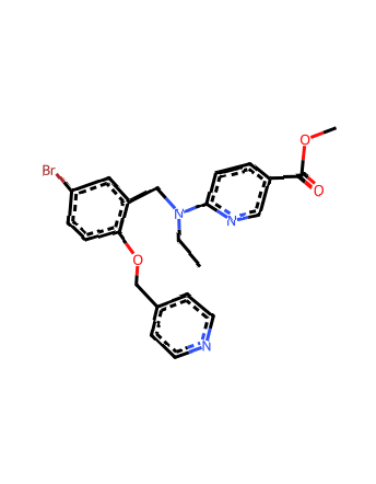 CCN(Cc1cc(Br)ccc1OCc1ccncc1)c1ccc(C(=O)OC)cn1